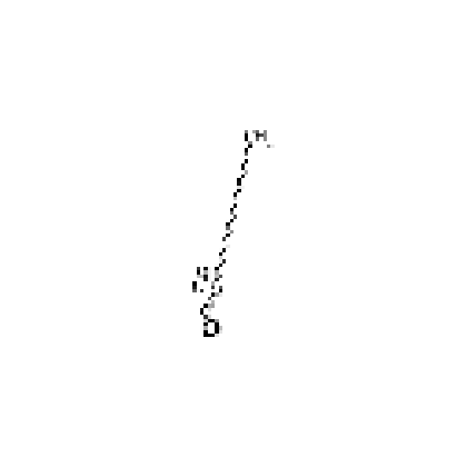 CCCCCCCCCCCCCCCCCCCCC(OCCOc1ccccc1)C(=O)O